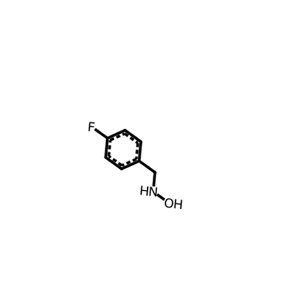 ONCc1ccc(F)cc1